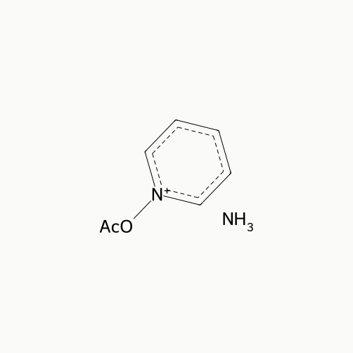 CC(=O)O[n+]1ccccc1.N